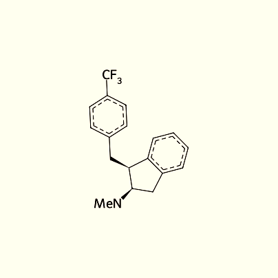 CN[C@@H]1Cc2ccccc2[C@@H]1Cc1ccc(C(F)(F)F)cc1